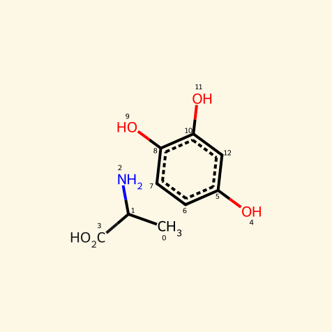 CC(N)C(=O)O.Oc1ccc(O)c(O)c1